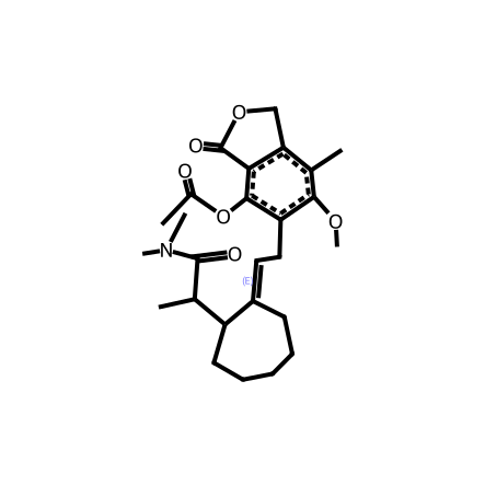 COc1c(C)c2c(c(OC(C)=O)c1C/C=C1\CCCCCC1C(C)C(=O)N(C)C)C(=O)OC2